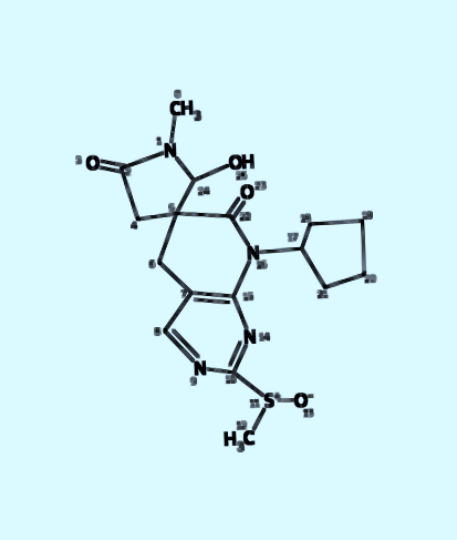 CN1C(=O)CC2(Cc3cnc([S+](C)[O-])nc3N(C3CCCC3)C2=O)C1O